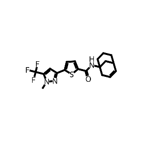 Cn1nc(-c2ccc(C(=O)NC34CC=CC(CCC3)C4)s2)cc1C(F)(F)F